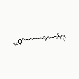 C=C(C)C(=O)OCCCCCC(=O)OCCCCCCCCCCCOc1ccc(C)cc1